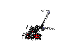 CCCCCCCC/C=C\CCCCCCCCCCCCCC(=O)N[C@@H](CO[C@@H]1OC(CO)[C@@H](O[C@@H]2OC(CO)[C@H](O)[C@H](O[C@@H]3OC(CO)[C@@H](O[C@H]4OC(C)[C@@H](O)C(O)[C@@H]4O)[C@H](O[C@@H]4OC(CO)[C@H](O)[C@H](O[C@H]5OC(CO)[C@H](O)[C@H](O)C5O)C4O[C@H]4OC(C)[C@@H](O)C(O)[C@@H]4O)C3NC(C)=O)C2O)[C@H](O)C1O)[C@H](O)/C=C/CCCCCCCCCCCCC